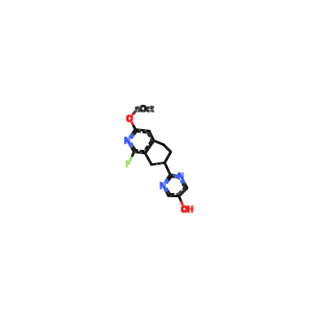 CCCCCCCCOc1cc2c(c(F)n1)CC(c1ncc(O)cn1)CC2